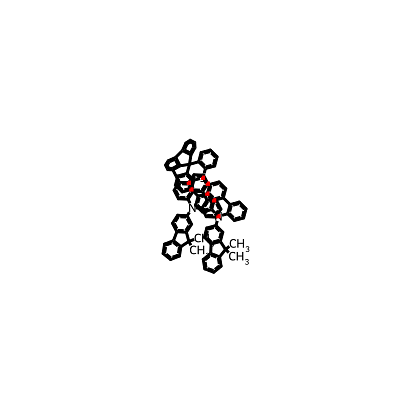 CC1(C)c2ccccc2-c2ccc(N(c3ccc(-c4cccc5c4Sc4ccccc4C54c5ccccc5-c5cccc(-c6ccc(N(c7ccc8c(c7)C(C)(C)c7ccccc7-8)c7ccccc7-c7ccccc7)cc6)c54)cc3)c3ccccc3-c3ccccc3)cc21